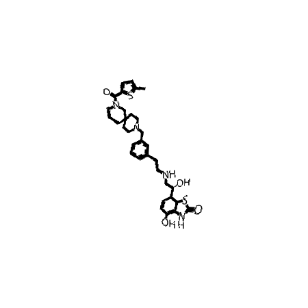 Cc1ccc(C(=O)N2CCCC3(CCN(Cc4cccc(CCNC[C@H](O)C5C=CC(O)=C6NC(=O)SC65)c4)CC3)C2)s1